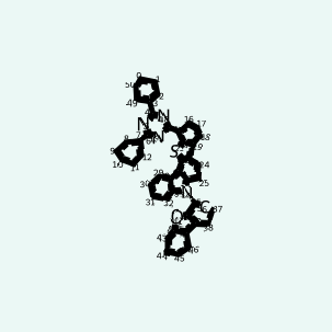 c1ccc(-c2nc(-c3ccccc3)nc(-c3cccc4c3sc3c4ccc4c3c3ccccc3n4-c3cccc4c3oc3ccccc34)n2)cc1